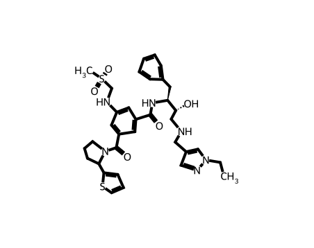 CCn1cc(CNC[C@@H](O)[C@H](Cc2ccccc2)NC(=O)c2cc(NCS(C)(=O)=O)cc(C(=O)N3CCCC3c3cccs3)c2)cn1